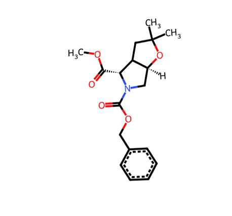 COC(=O)[C@@H]1C2CC(C)(C)O[C@H]2CN1C(=O)OCc1ccccc1